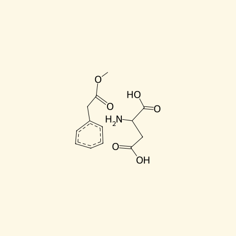 COC(=O)Cc1ccccc1.NC(CC(=O)O)C(=O)O